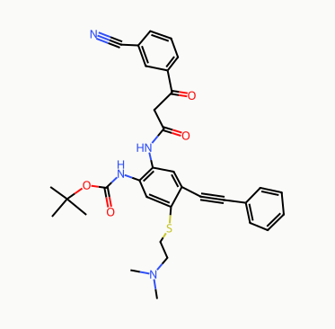 CN(C)CCSc1cc(NC(=O)OC(C)(C)C)c(NC(=O)CC(=O)c2cccc(C#N)c2)cc1C#Cc1ccccc1